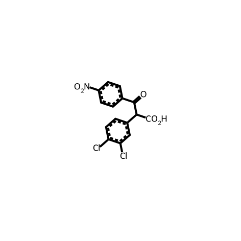 O=C(O)C(C(=O)c1ccc([N+](=O)[O-])cc1)c1ccc(Cl)c(Cl)c1